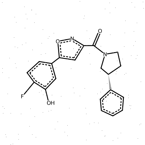 O=C(c1cc(-c2ccc(F)c(O)c2)on1)N1CC[C@H](c2ccccc2)C1